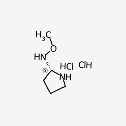 CON[C@H]1CCCN1.Cl.Cl